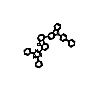 c1ccc(-c2ccc(-n3c4ccccc4c4cc(-c5cccc6oc7c(-c8nc(-c9ccccc9)nc(-c9ccccc9)n8)cccc7c56)ccc43)cc2)cc1